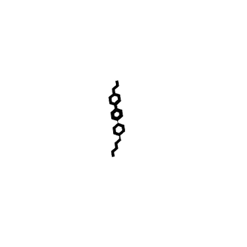 CCCCC[C@H]1CC[C@H](c2ccc(C3=CCC(CCC)CC3)cc2)CC1